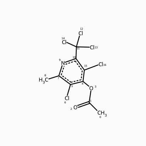 CC(=O)Oc1c(Cl)c(C)nc(C(Cl)(Cl)Cl)c1Cl